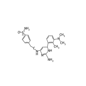 Cc1c(C2C=C(NCCc3ccc([S@+](N)[O-])cc3)N=C(N)N2)cccc1N(C)C